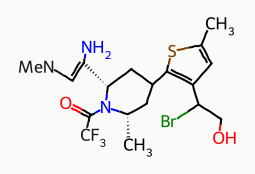 CN/C=C(\N)[C@@H]1CC(c2sc(C)cc2C(Br)CO)C[C@H](C)N1C(=O)C(F)(F)F